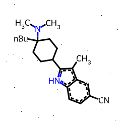 CCCCC1(N(C)C)CCC(c2[nH]c3ccc(C#N)cc3c2C)CC1